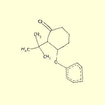 CC(C)(C)C1C(=O)CCCC1Oc1ccccc1